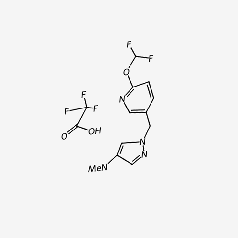 CNc1cnn(Cc2ccc(OC(F)F)nc2)c1.O=C(O)C(F)(F)F